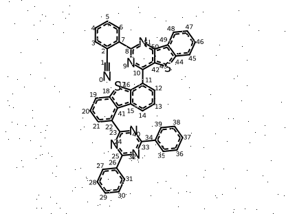 N#Cc1ccccc1-c1nc(-c2cccc3c2sc2cccc(-c4nc(-c5ccccc5)nc(-c5ccccc5)n4)c23)c2sc3ccccc3c2n1